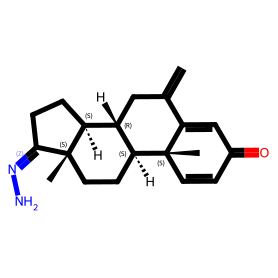 C=C1C[C@@H]2[C@H](CC[C@]3(C)/C(=N\N)CC[C@@H]23)[C@@]2(C)C=CC(=O)C=C12